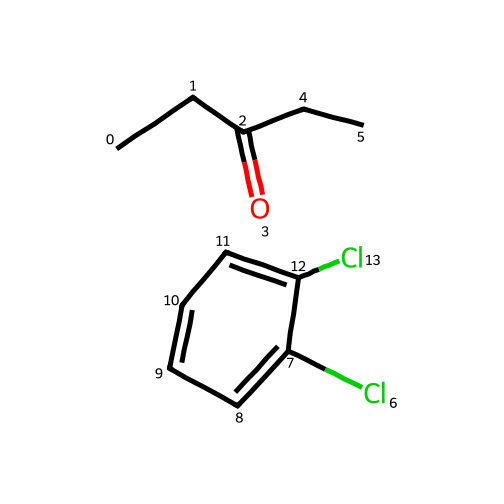 CCC(=O)CC.Clc1ccccc1Cl